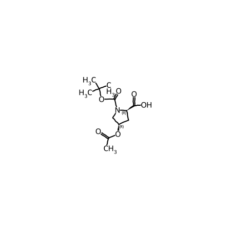 CC(=O)O[C@@H]1C[C@H](C(=O)O)N(C(=O)OC(C)(C)C)C1